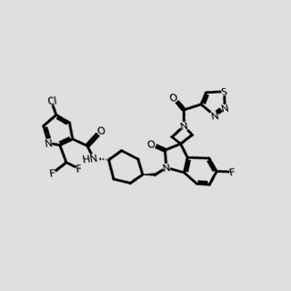 O=C(N[C@H]1CC[C@H](CN2C(=O)C3(CN(C(=O)c4csnn4)C3)c3cc(F)ccc32)CC1)c1cc(Cl)cnc1C(F)F